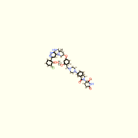 COc1cc(O[C@@H]2C[C@@H]3CNc4nnc(-c5cccc(Cl)c5O)cc4N3C2)ccc1CN1CCN(c2ccc3c(c2)C(=O)N(C2CCC(=O)NC2=O)C3)CC1